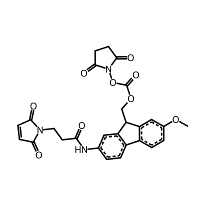 COc1ccc2c(c1)C(COC(=O)ON1C(=O)CCC1=O)c1cc(NC(=O)CCN3C(=O)C=CC3=O)ccc1-2